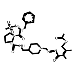 CC(=O)OCC(C)=C(C)C(=O)N=NCN1CCC(CNC(=O)[C@@H]2CCCN2C(=O)[C@@H](Cc2ccccc2)NS(C)(=O)=O)CC1